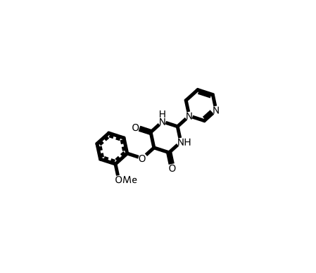 COc1ccccc1OC1C(=O)NC(N2C=NC=CC2)NC1=O